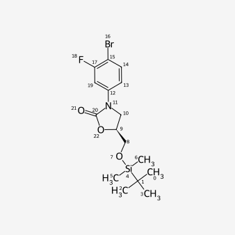 CC(C)(C)[Si](C)(C)OC[C@@H]1CN(c2ccc(Br)c(F)c2)C(=O)O1